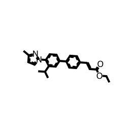 CCOC(=O)/C=C/c1ccc(-c2ccc(-n3ccc(C)n3)c(C(C)C)c2)cc1